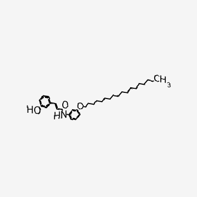 CCCCCCCCCCCCCCCCCCOc1cccc(NC(=O)C=Cc2cccc(O)c2)c1